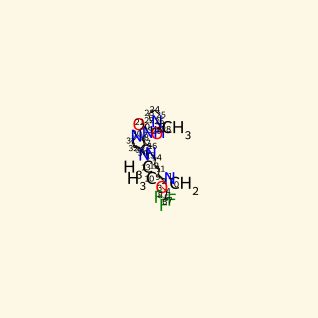 C=N/C(OCC(F)(F)F)=C(C)\C=C(/C)Cn1cc2c(NC(=O)[C@@H]3CCCN3C(C)=O)nccc2n1